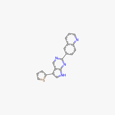 c1csc(-c2c[nH]c3nc(-c4ccc5ncccc5c4)ncc23)c1